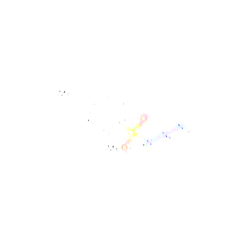 COc1ccc(S(=O)(=O)N=[N+]=[N-])c(OC)c1